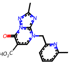 Cc1cccc(Cn2cc(C(=O)O)c(=O)n3nc(C)nc23)n1